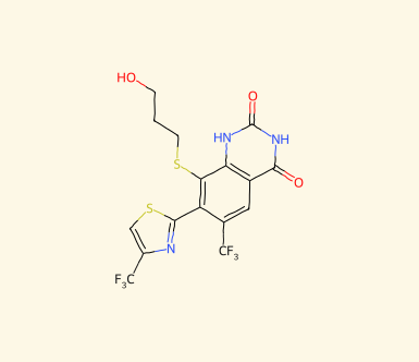 O=c1[nH]c(=O)c2cc(C(F)(F)F)c(-c3nc(C(F)(F)F)cs3)c(SCCCO)c2[nH]1